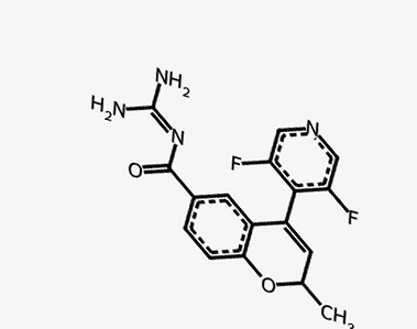 CC1C=C(c2c(F)cncc2F)c2cc(C(=O)N=C(N)N)ccc2O1